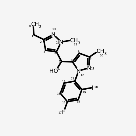 CCc1cc(C(O)c2cc(C)nn2-c2ccc(F)cc2I)n(C)n1